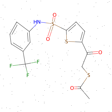 CC(=O)SCC(=O)c1ccc(S(=O)(=O)Nc2cccc(C(F)(F)F)c2)s1